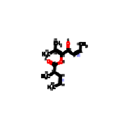 C/C=C\C(=O)C(OC(=O)C(C)/C=C\C)=C(C)C